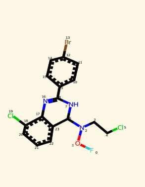 FON(CCCl)C1NC(c2ccc(Br)cc2)=Nc2c(Cl)cccc21